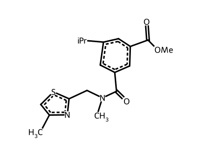 COC(=O)c1cc(C(=O)N(C)Cc2nc(C)cs2)cc(C(C)C)c1